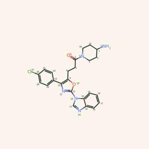 NC1CCN(C(=O)CCc2oc(-n3cnc4ccccc43)nc2-c2ccc(Cl)cc2)CC1